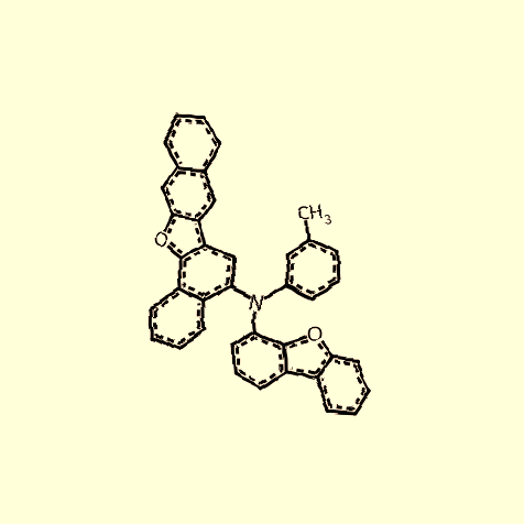 Cc1cccc(N(c2cc3c4cc5ccccc5cc4oc3c3ccccc23)c2cccc3c2oc2ccccc23)c1